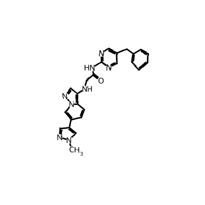 Cn1cc(-c2ccc3c(NCC(=O)Nc4ncc(Cc5ccccc5)cn4)cnn3c2)cn1